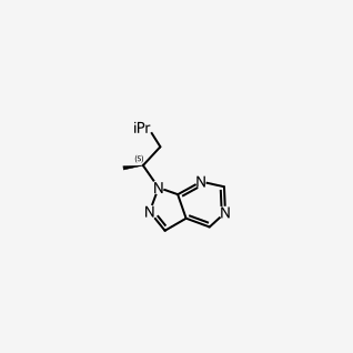 CC(C)C[C@H](C)n1ncc2cncnc21